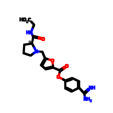 N=C(N)c1ccc(OC(=O)c2ccc(CN3CCC[C@H]3C(=O)NCC(=O)O)o2)cc1